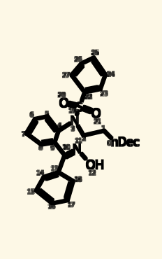 CCCCCCCCCCCCN(c1ccccc1C(=NO)c1ccccc1)S(=O)(=O)c1ccccc1